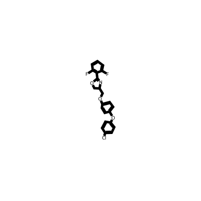 Fc1cccc(F)c1C1=NC(COc2ccc(Oc3ccc(Cl)cc3)cc2)CO1